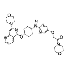 O=C(COc1cnc(N[C@H]2CC[C@@H](Oc3nc(N4CCOCC4)cc4ncccc34)CC2)nc1)N1CCOCC1